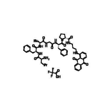 CCC(C)[C@H](NC(=O)[C@H](Cc1ccccc1)NC(=O)[C@@H](N)CC(C)C)C(=O)NCC(=O)N[C@@H](Cc1ccccc1)C(=O)N1CCC[C@@H]1C(=O)NCCCNc1cccc2c1C(=O)c1ccccc1C2=O.O=C(O)C(F)(F)F